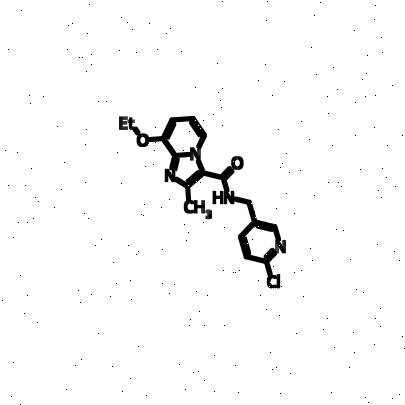 CCOc1cccn2c(C(=O)NCc3ccc(Cl)nc3)c(C)nc12